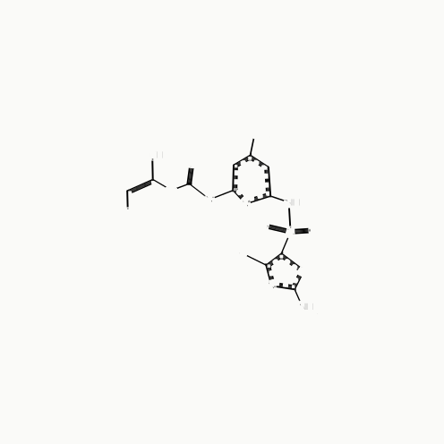 C/C=C(/C)OC(=O)Nc1cc(C)cc(NS(=O)(=O)c2sc(N)nc2C)n1